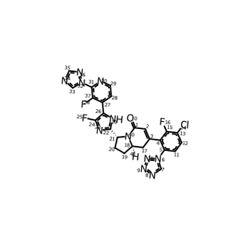 O=C1C=C(c2c(-n3cnnn3)ccc(Cl)c2F)C[C@H]2CC[C@H](c3nc(F)c(-c4ccnc(-n5cncn5)c4F)[nH]3)N12